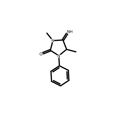 CC1C(=N)N(C)C(=O)N1c1ccccc1